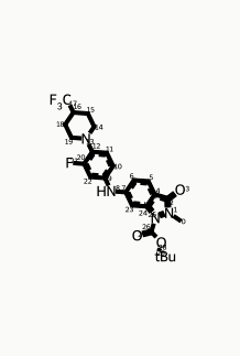 Cn1c(=O)c2ccc(Nc3ccc(N4CCC(C(F)(F)F)CC4)c(F)c3)cc2n1C(=O)OC(C)(C)C